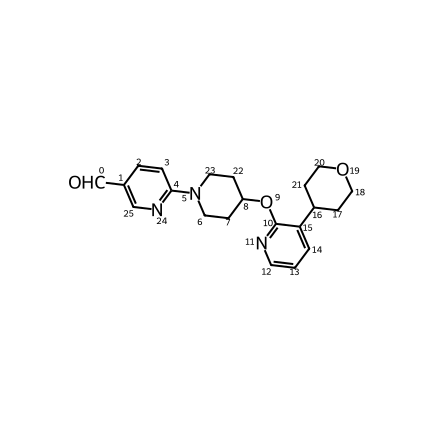 O=Cc1ccc(N2CCC(Oc3ncccc3C3CCOCC3)CC2)nc1